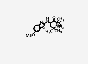 COc1ccc2nc(NC3CC(C)(C)NC(C)(C)C3=O)sc2c1